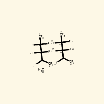 FC(C(F)(F)F)C(F)(F)C(F)(F)C(F)(F)F.FC(C(F)(F)F)C(F)(F)C(F)(F)C(F)(F)F.O